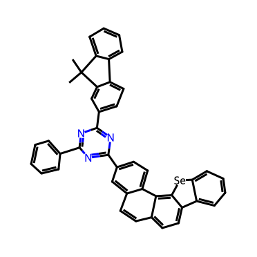 CC1(C)c2ccccc2-c2ccc(-c3nc(-c4ccccc4)nc(-c4ccc5c(ccc6ccc7c8ccccc8[se]c7c65)c4)n3)cc21